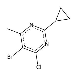 Cc1nc(C2CC2)nc(Cl)c1Br